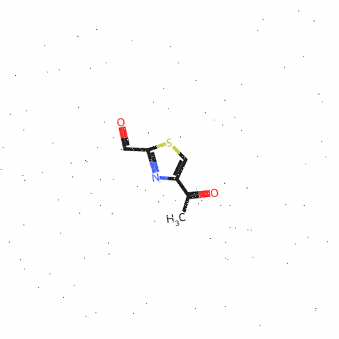 CC(=O)c1csc([C]=O)n1